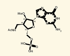 CO[C@@H]1[C@H](CNC(C)=O)[C@@H](COP(=O)(O)O)O[C@H]1n1cnc2c(=O)[nH]c(N)nc21